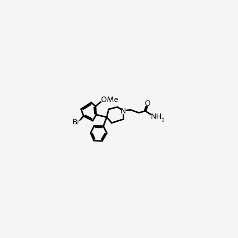 COc1ccc(Br)cc1C1(c2ccccc2)CCN(CCC(N)=O)CC1